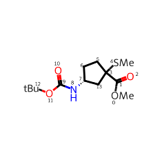 COC(=O)C1(SC)CC[C@@H](NC(=O)OC(C)(C)C)C1